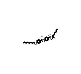 CCCCCCCCOc1ccc(C(=O)Oc2ccc(C(=O)OC(C)CCCCCC)cc2)cc1